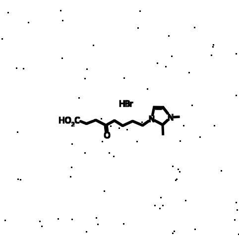 Br.CC1N(C)C=CN1CCCCC(=O)CCC(=O)O